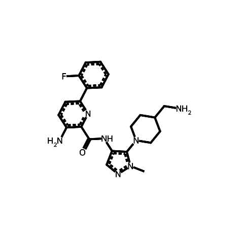 Cn1ncc(NC(=O)c2nc(-c3ccccc3F)ccc2N)c1N1CCC(CN)CC1